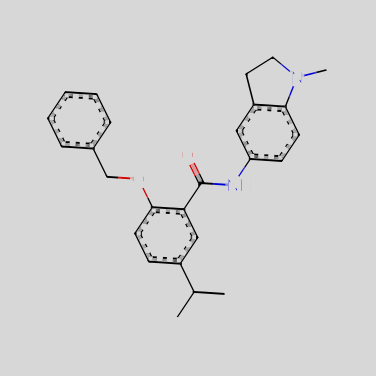 CC(C)c1ccc(OCc2ccccc2)c(C(=O)Nc2ccc3c(c2)CCN3C)c1